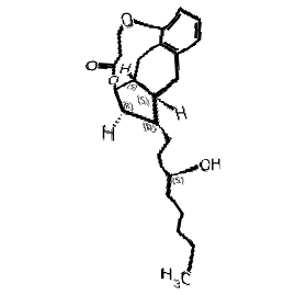 CCCCC[C@H](O)CC[C@@H]1[C@H]2Cc3cccc4c3C[C@H]2C[C@H]1OC(=O)CO4